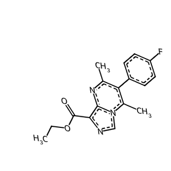 CCOC(=O)c1ncn2c(C)c(-c3ccc(F)cc3)c(C)nc12